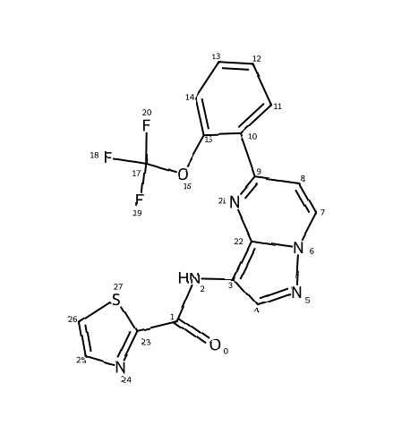 O=C(Nc1cnn2ccc(-c3ccccc3OC(F)(F)F)nc12)c1nccs1